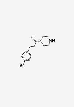 O=C(CCc1ccc(Br)cc1)N1CCNCC1